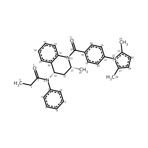 CCC(=O)N(c1ccccc1)[C@H]1C[C@@H](C)N(C(=O)c2ccc(-n3c(C)ccc3C)cc2)c2ccccc21